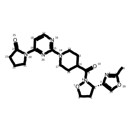 Cc1nc([C@@H]2CCON2C(=O)C2CCN(c3nccc(N4CCCC4=O)n3)CC2)co1